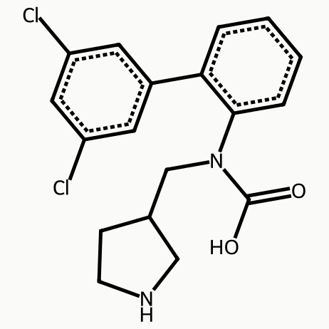 O=C(O)N(CC1CCNC1)c1ccccc1-c1cc(Cl)cc(Cl)c1